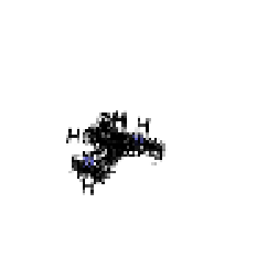 C/N=C/[C@H]1CC(F)(F)CN1C(=O)CNC(=O)c1ccnc2ccc(OCCCN3CCN(C(=O)[C@H](CC(=O)OC)NC(=O)[C@H](CCCC/N=C(\C)NC(=O)CCCc4ccc(I)cc4)NC(=O)CN4CCN(CC(=O)O)CCN(CC(=O)O)CCN(CC(=O)O)CC4)CC3)cc12